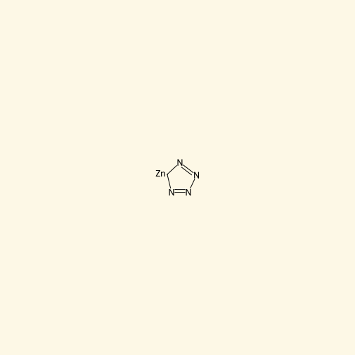 C1N=NN=N1.[Zn]